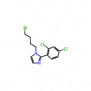 Clc1ccc(-c2nccn2CCCCBr)c(Cl)c1